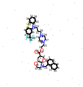 CC(COc1ccc2ccccc2c1CN1CCOCC1)C(=O)OCCN1CCN(CCCN2c3ccccc3Sc3ccc(C(F)(F)F)cc32)CC1